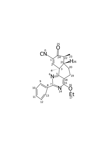 [C-]#[N+]C1=C[C@]2(C)c3nc(-c4ccccc4)nc(OCC)c3CC[C@H]2[C@H](C)C1=O